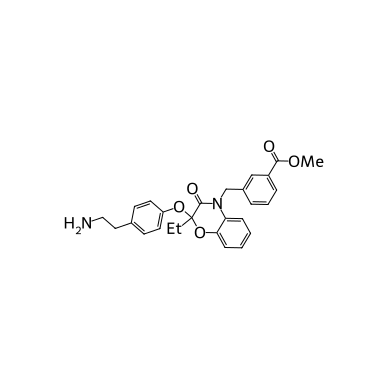 CCC1(Oc2ccc(CCN)cc2)Oc2ccccc2N(Cc2cccc(C(=O)OC)c2)C1=O